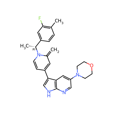 C=C1C=C(c2c[nH]c3ncc(N4CCOCC4)cc23)C=CN1[C@H](C)c1ccc(C)c(F)c1